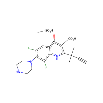 C#CC(C)(C)c1[nH]c2c(F)c(N3CCNCC3)c(F)cc2c(=O)c1C(=O)O.CS(=O)(=O)O